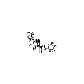 CC(NC(=O)OC(C)(C)C)C(=O)NNOCc1ccccc1